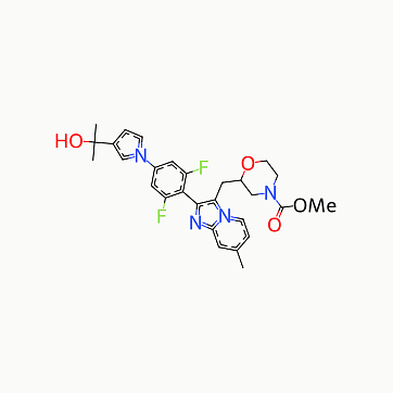 COC(=O)N1CCOC(Cc2c(-c3c(F)cc(-n4ccc(C(C)(C)O)c4)cc3F)nc3cc(C)ccn23)C1